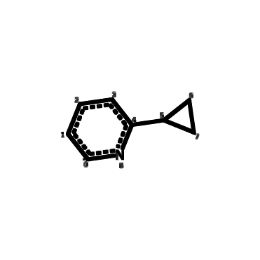 [c]1cccc(C2CC2)n1